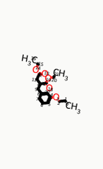 CCCOc1cccc(CC(CC(=O)OCC)C(=O)OCC)c1